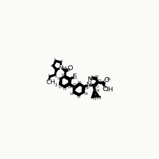 CCCC1CCCN1C(=O)c1cccc(-c2cccc(-n3ncc(C(=O)O)c3C3CC3)c2)c1F